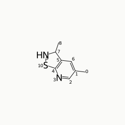 Cc1cnc2c(c1)C(C)NS2